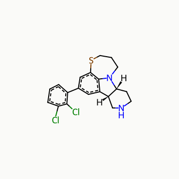 Clc1cccc(-c2cc3c4c(c2)[C@H]2CNCC[C@H]2N4CCCS3)c1Cl